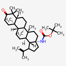 C=C(C)C1CC[C@]2(NC(=O)OC(C)(C)C)CC[C@]3(C)[C@H](CC[C@@H]4[C@@]5(C)CCC(=O)C(C)(C)[C@@H]5CC[C@]43C)[C@@H]12